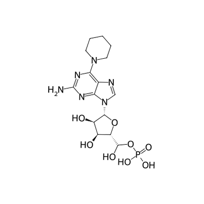 Nc1nc(N2CCCCC2)c2ncn([C@@H]3O[C@H](C(O)OP(=O)(O)O)[C@@H](O)[C@H]3O)c2n1